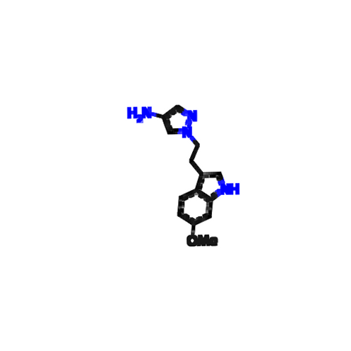 COc1ccc2c(CCn3cc(N)cn3)c[nH]c2c1